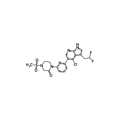 CS(=O)(=O)N1CCN(c2cccc(-c3cnc4[nH]cc(CC(F)F)c4c3Cl)n2)C(=O)C1